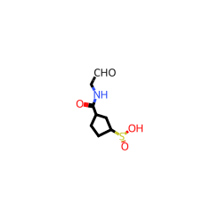 O=CCNC(=O)C1CCC(S(=O)O)C1